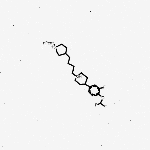 CCCCC[SiH]1CCC(CCCC[SiH]2CCC(c3ccc(OC(F)F)c(F)c3)CC2)CC1